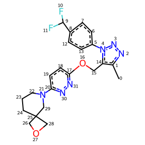 Cc1nnn(-c2ccc(C(F)F)cc2)c1COc1ccc(N2CCCC3(COC3)C2)nn1